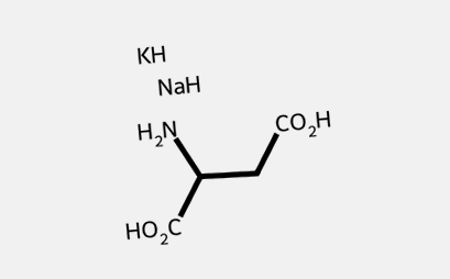 NC(CC(=O)O)C(=O)O.[KH].[NaH]